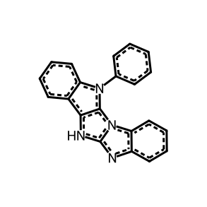 c1ccc(-n2c3ccccc3c3[nH]c4nc5ccccc5n4c32)cc1